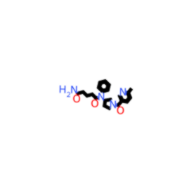 Cc1ccc(C(=O)N2CC[C@@H](N(C(=O)CCCC(N)=O)c3ccccc3)C2)cn1